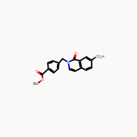 CC(C)(C)OC(=O)c1ccc(Cn2ccc3ccc(C(=O)O)cc3c2=O)cc1